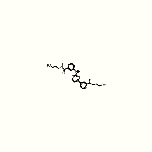 O=C(NCCCO)c1cccc(Nc2nccc(-c3ccnc(NCCCO)c3)n2)c1